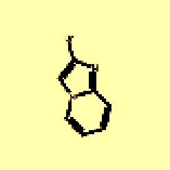 Brc1cn2ccccc2n1